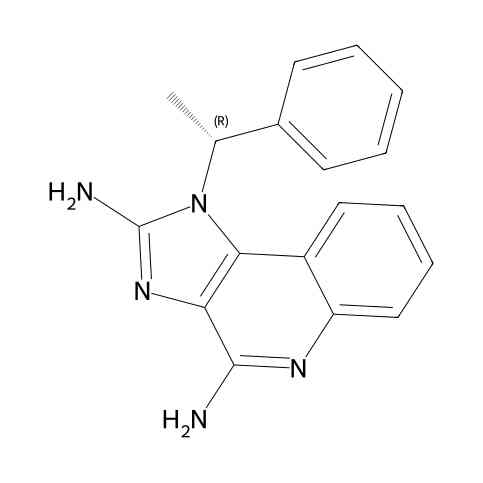 C[C@H](c1ccccc1)n1c(N)nc2c(N)nc3ccccc3c21